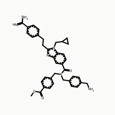 COC(=O)c1ccc(CN(Cc2ccc(CN)cc2)C(=O)c2ccc3c(c2)nc(CCc2ccc(C(=N)N)cc2)n3CC2CC2)cc1